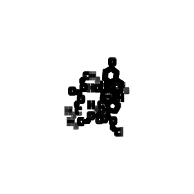 CCOC(=O)OCC.CCOC(=O)O[C@]1(C(=O)OCCl)CC[C@H]2[C@@H]3CCC4=CC(=O)C=C[C@]4(C)[C@H]3[C@@H](O)C[C@@]21C